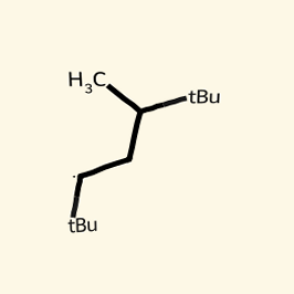 CC(C[CH]C(C)(C)C)C(C)(C)C